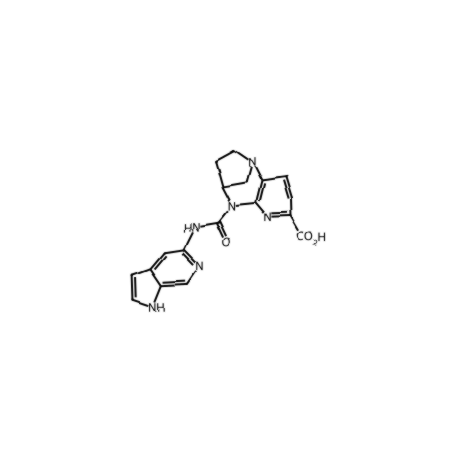 O=C(O)c1ccc2c(n1)N(C(=O)Nc1cc3cc[nH]c3cn1)C1CCN2C1